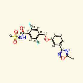 Cc1nc(-c2cccc(OCc3cc(F)c(C(=O)NS(C)(=O)=O)cc3F)c2)no1